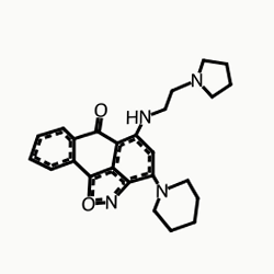 O=C1c2ccccc2-c2onc3c(N4CCCCC4)cc(NCCN4CCCC4)c1c23